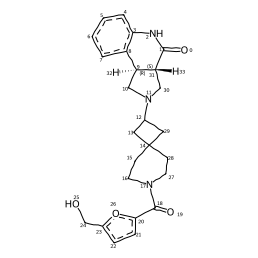 O=C1Nc2ccccc2[C@@H]2CN(C3CC4(CCN(C(=O)c5ccc(CO)o5)CC4)C3)C[C@@H]12